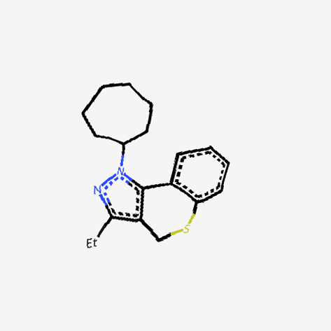 CCc1nn(C2CCCCCC2)c2c1CSc1ccccc1-2